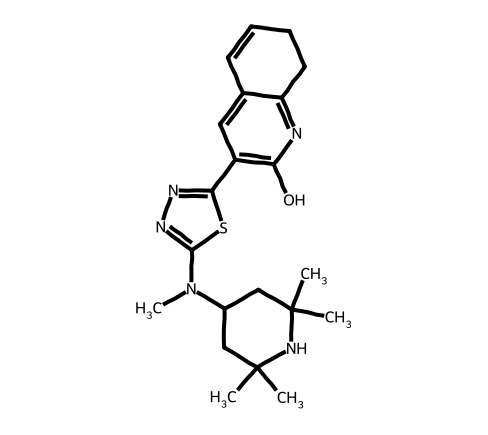 CN(c1nnc(-c2cc3c(nc2O)CCC=C3)s1)C1CC(C)(C)NC(C)(C)C1